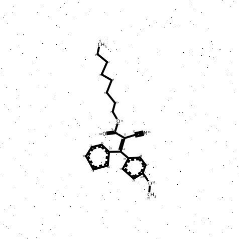 CCCCCCCCOC(=O)C(C#N)=C(c1ccccc1)c1ccc(OC)cc1